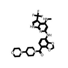 CNc1cc(Nc2ccc(C(=O)N3CCC(N4CCOCC4)CC3)c3c2OCO3)nc2[nH]cc(C(F)(F)F)c12